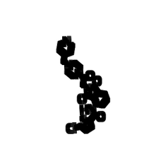 O=C(Nc1cccc2c1C(=O)N(CC(=O)N1CCN(Cc3ccncc3)CC1)C2=O)c1ccc(Cl)s1